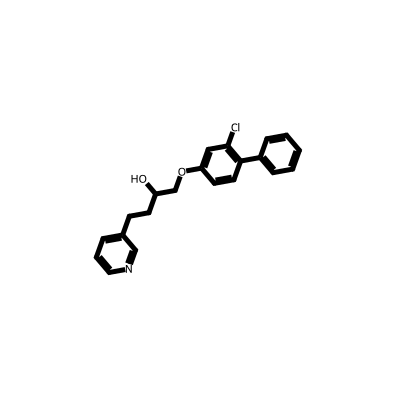 OC(CCc1cccnc1)COc1ccc(-c2ccccc2)c(Cl)c1